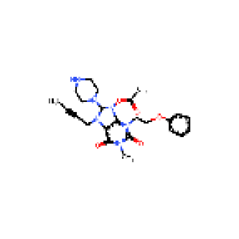 CC#CCN1c2c(n(CCOc3ccccc3)c(=O)n(C)c2=O)N(OC(=O)C(F)(F)F)C1N1CCNCC1